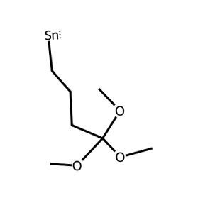 COC(CC[CH2][Sn])(OC)OC